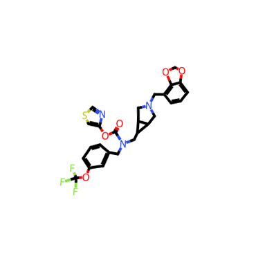 O=C(Oc1cscn1)N(Cc1cccc(OC(F)(F)F)c1)CC1C2CN(Cc3cccc4c3OCO4)CC21